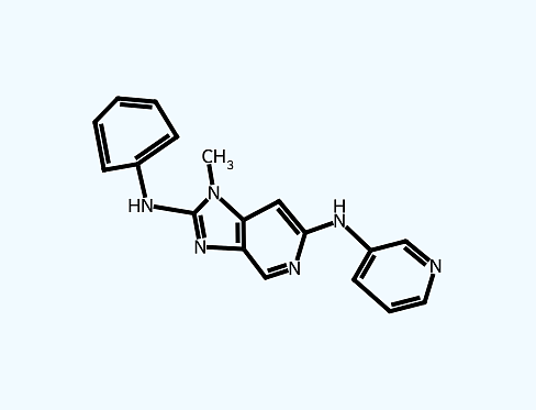 Cn1c(Nc2ccccc2)nc2cnc(Nc3cccnc3)cc21